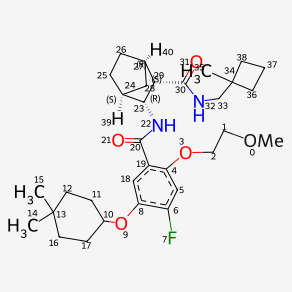 COCCOc1cc(F)c(OC2CCC(C)(C)CC2)cc1C(=O)N[C@@H]1[C@H]2CC[C@H](C2)[C@@H]1C(=O)NCC1(C)CCC1